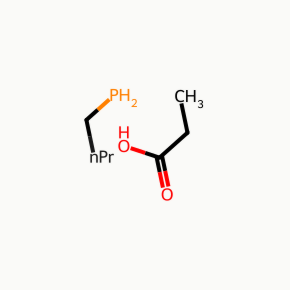 CCC(=O)O.CCCCP